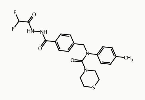 Cc1ccc(N(Cc2ccc(C(=O)NNC(=O)C(F)F)cc2)C(=O)N2CCSCC2)cc1